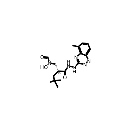 Cc1cccc2nnc(NNC(=O)[C@@H](CN(O)C=O)CC(C)(C)C)nc12